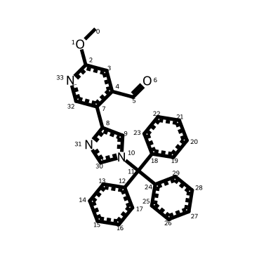 COc1cc(C=O)c(-c2cn(C(c3ccccc3)(c3ccccc3)c3ccccc3)cn2)cn1